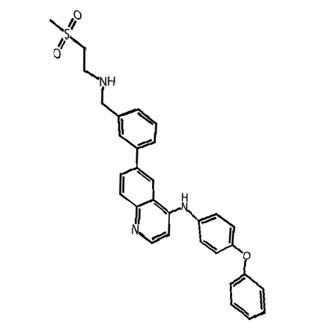 CS(=O)(=O)CCNCc1cccc(-c2ccc3nccc(Nc4ccc(Oc5ccccc5)cc4)c3c2)c1